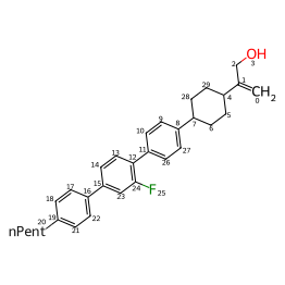 C=C(CO)C1CCC(c2ccc(-c3ccc(-c4ccc(CCCCC)cc4)cc3F)cc2)CC1